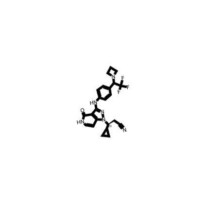 N#CC[C@@H](C1CC1)n1nc(Nc2ccc(C(N3CCC3)C(F)(F)F)cc2)c2c(=O)[nH]ccc21